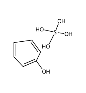 O[Si](O)(O)O.Oc1ccccc1